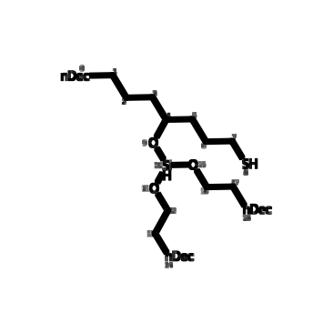 CCCCCCCCCCCCCC(CCCS)O[SiH](OCCCCCCCCCCCC)OCCCCCCCCCCCC